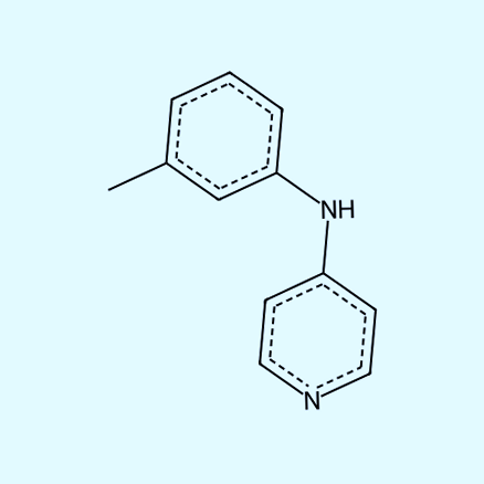 Cc1cccc(Nc2ccncc2)c1